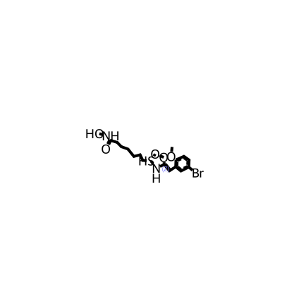 COc1ccc(Br)cc1/C=C1/N[SH](CCCCCCC(=O)NO)OO1